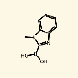 Cn1c(B(O)O)nc2ccccc21